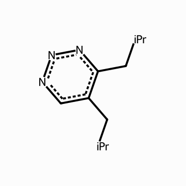 CC(C)Cc1cnnnc1CC(C)C